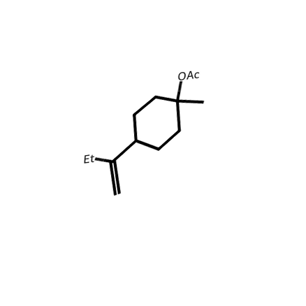 C=C(CC)C1CCC(C)(OC(C)=O)CC1